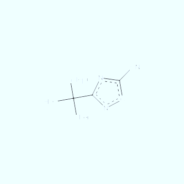 CCCCCCCC(C)(CCCCC)c1noc(C#N)n1